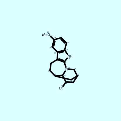 CCC1CC2CC3CCc4c([nH]c5ccc(OC)cc45)N(C2)C13